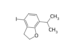 CC(C)c1ccc(I)c2c1OCC2